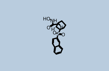 O=C(NO)[C@H]1C2CCC(CC2)N1S(=O)(=O)c1ccc2ccccc2c1